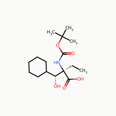 CC[C@](NC(=O)OC(C)(C)C)(C(=O)O)[C@H](O)C1CCCCC1